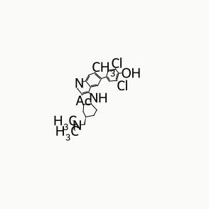 CC(=O)c1cnc2cc(C)c(-c3cc(Cl)c(O)c(Cl)c3)cc2c1N[C@H]1CC[C@H](CN(C)C)CC1